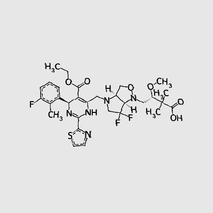 CCOC(=O)C1=C(CN2CC(F)(F)[C@H]3[C@@H]2CON3C[C@H](OC)C(C)(C)C(=O)O)NC(c2nccs2)=N[C@H]1c1cccc(F)c1C